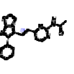 CC(=O)Nc1nccc(/C=C/c2c(-c3ccccc3)nc3sccn23)n1